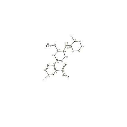 COC(=O)c1cc(I)cnc1N1CCC(NC2CCCCC2C)C(CO)C1